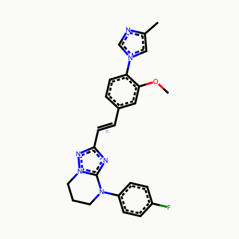 COc1cc(/C=C/c2nc3n(n2)CCCN3c2ccc(F)cc2)ccc1-n1cnc(C)c1